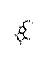 CCC1=Cc2c(nc[nH]c2=O)[N]1